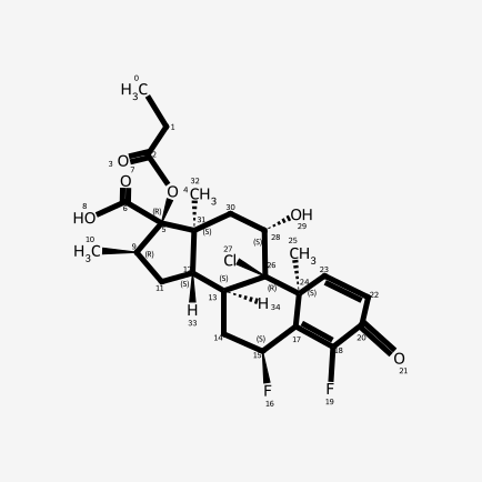 CCC(=O)O[C@]1(C(=O)O)[C@H](C)C[C@H]2[C@@H]3C[C@H](F)C4=C(F)C(=O)C=C[C@]4(C)[C@@]3(Cl)[C@@H](O)C[C@@]21C